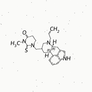 C=CCN1CC(CN2CCC(=O)N(C)C2=S)C[C@@H]2c3cccc4[nH]cc(c34)C[C@H]21